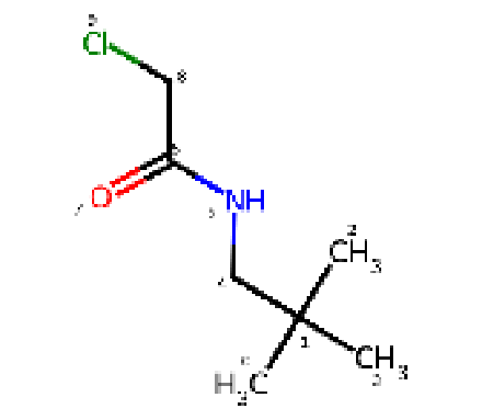 CC(C)(C)CNC(=O)CCl